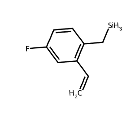 C=Cc1cc(F)ccc1C[SiH3]